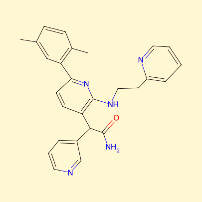 Cc1ccc(C)c(-c2ccc(C(C(N)=O)c3cccnc3)c(NCCc3ccccn3)n2)c1